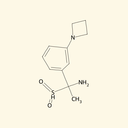 CC(N)(c1cccc(N2CCC2)c1)[SH](=O)=O